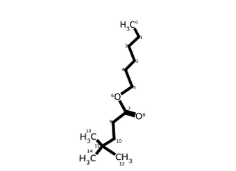 CCCCCCOC(=O)CCC(C)(C)C